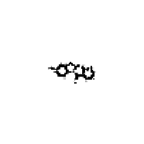 O=c1c2cccnc2nc2n1-c1ccc(I)cc1C2